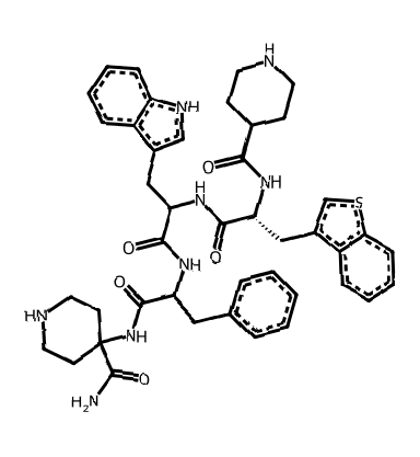 NC(=O)C1(NC(=O)C(Cc2ccccc2)NC(=O)C(Cc2c[nH]c3ccccc23)NC(=O)[C@@H](Cc2csc3ccccc23)NC(=O)C2CCNCC2)CCNCC1